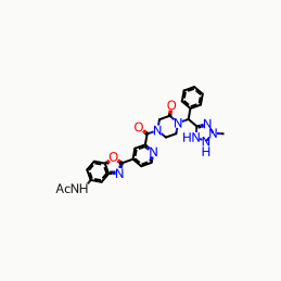 CC(=O)Nc1ccc2oc(-c3ccnc(C(=O)N4CCN(C(C5=NN(C)NN5)c5ccccc5)C(=O)C4)c3)nc2c1